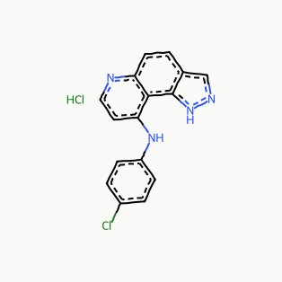 Cl.Clc1ccc(Nc2ccnc3ccc4cn[nH]c4c23)cc1